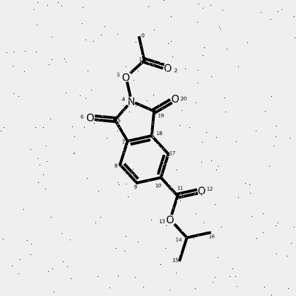 CC(=O)ON1C(=O)c2ccc(C(=O)OC(C)C)cc2C1=O